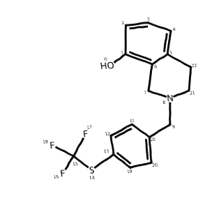 Oc1cccc2c1CN(Cc1ccc(SC(F)(F)F)cc1)CC2